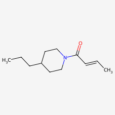 CC=CC(=O)N1CCC(CCC)CC1